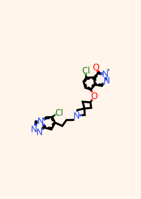 Cn1ncc2c(OC3CC4(C3)CN(CCCc3cc5nncn5cc3Cl)C4)ccc(Cl)c2c1=O